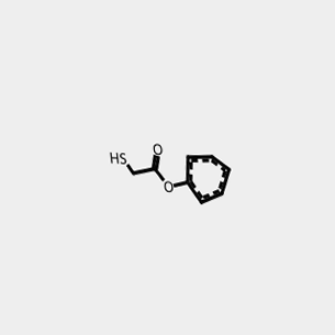 O=C(CS)Oc1ccccc1